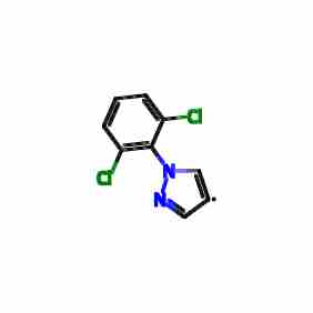 Clc1cccc(Cl)c1-n1c[c]cn1